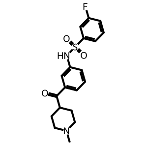 CN1CCC(C(=O)c2cccc(NS(=O)(=O)c3cccc(F)c3)c2)CC1